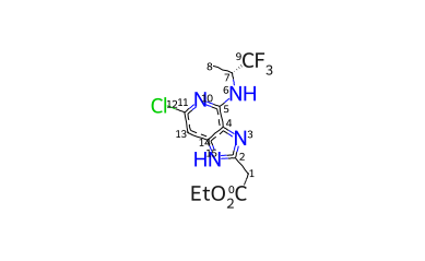 CCOC(=O)Cc1nc2c(N[C@H](C)C(F)(F)F)nc(Cl)cc2[nH]1